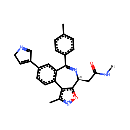 CCNC(=O)C[C@@H]1N=C(c2ccc(C)cc2)c2cc(C3=CCN=C3)ccc2-c2c(C)noc21